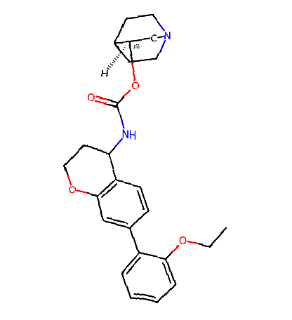 CCOc1ccccc1-c1ccc2c(c1)OCCC2NC(=O)O[C@@H]1CN2CCC1CC2